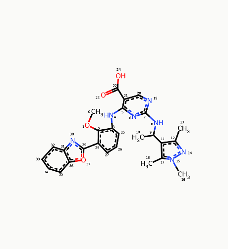 COc1c(Nc2nc(NC(C)c3c(C)nn(C)c3C)ncc2C(=O)O)cccc1-c1nc2ccccc2o1